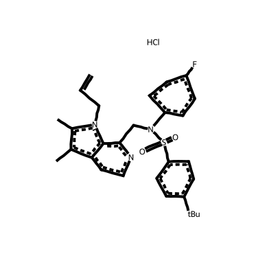 C=CCn1c(C)c(C)c2ccnc(CN(c3ccc(F)cc3)S(=O)(=O)c3ccc(C(C)(C)C)cc3)c21.Cl